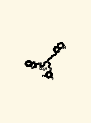 O=C(O)[C@H](CCN(CCCCc1ccc2c(n1)NCCC2)CCOc1cc(F)cc(F)c1)Nc1cnc2ccccc2n1